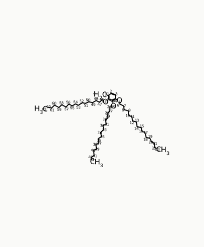 [CH2]c1ccc(OCCCCCCCCCCCCCCCCCC)c(OCCCCCCCCCCCCCCCCCC)c1OCCCCCCCCCCCCCCCCCC